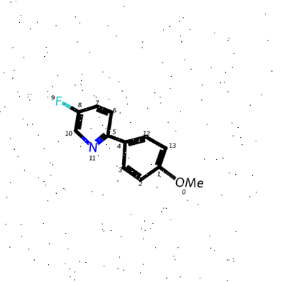 COc1ccc(-c2ccc(F)cn2)cc1